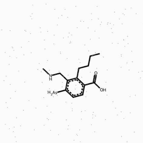 CCCCc1c(C(=O)O)ccc([AsH2])c1CNC